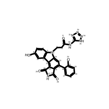 O=C(CCn1c2ccc(O)cc2c2c3c(c(-c4ccccc4Cl)cc21)C(=O)NC3=O)Nc1nnn[nH]1